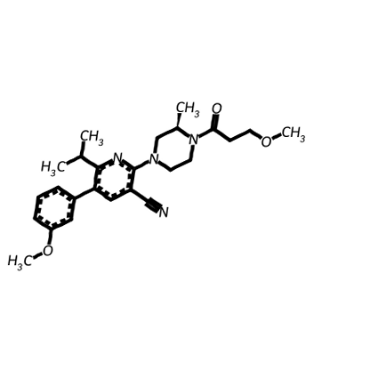 COCCC(=O)N1CCN(c2nc(C(C)C)c(-c3cccc(OC)c3)cc2C#N)C[C@H]1C